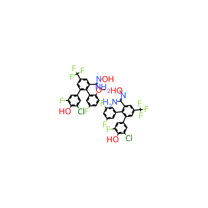 COc1ccc(F)cc1-c1c(/C(N)=N/O)cc(C(F)(F)F)cc1-c1cc(F)c(O)c(Cl)c1.N/C(=N\O)c1cc(C(F)(F)F)cc(-c2cc(F)c(O)c(Cl)c2)c1-c1cc(F)cc(F)c1